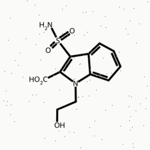 NS(=O)(=O)c1c(C(=O)O)n(CCO)c2ccccc12